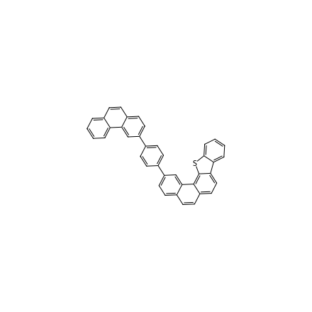 c1ccc2c(c1)ccc1ccc(-c3ccc(-c4ccc5ccc6ccc7c8ccccc8sc7c6c5c4)cc3)cc12